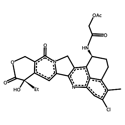 CC[C@@]1(O)C(=O)OCc2c1cc1n(c2=O)Cc2c-1nc1cc(Cl)c(C)c3c1c2[C@@H](NC(=O)COC(C)=O)CC3